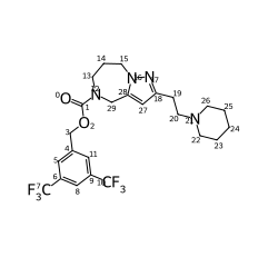 O=C(OCc1cc(C(F)(F)F)cc(C(F)(F)F)c1)N1CCCn2nc(CCN3CCCCC3)cc2C1